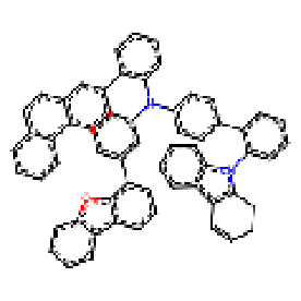 C1=Cc2c(n(-c3ccccc3-c3ccc(N(c4cccc(-c5cccc6c5oc5ccccc56)c4)c4ccccc4-c4ccc5c(ccc6ccccc65)c4)cc3)c3ccccc23)CC1